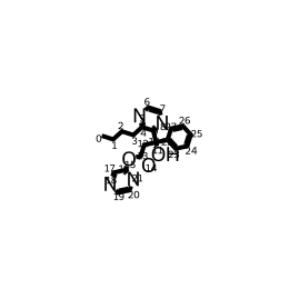 CCCCc1nccnc1C(O)(CC(=O)Oc1cnccn1)c1ccccc1